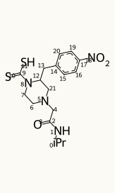 CC(C)NC(=O)CN1CCN(C(=S)S)C(Cc2ccc([N+](=O)[O-])cc2)C1